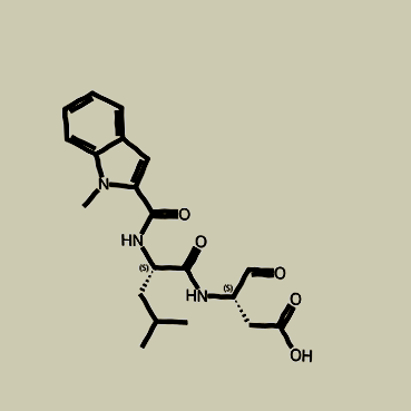 CC(C)C[C@H](NC(=O)c1cc2ccccc2n1C)C(=O)N[C@H](C=O)CC(=O)O